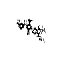 C=Cc1cc(Nc2cc(C#N)c(N3CCN(C(=O)COC)[C@H](C(C)C)C3)nc2C2CC2)ccn1